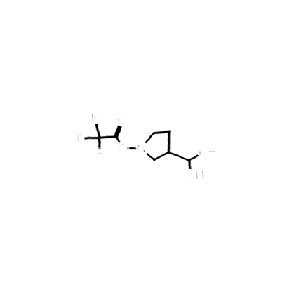 CC(C)C1CCN(OC(=O)C(F)(F)F)C1